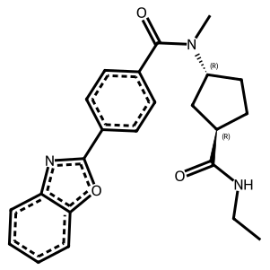 CCNC(=O)[C@@H]1CC[C@@H](N(C)C(=O)c2ccc(-c3nc4ccccc4o3)cc2)C1